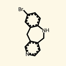 Brc1ccc2c(c1)Cc1cnccc1CN2